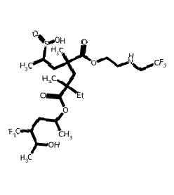 CCC(C)(CC(C)(CC(C)S(=O)O)C(=O)OCCNCC(F)(F)F)C(=O)OC(C)CC(C(C)O)C(F)(F)F